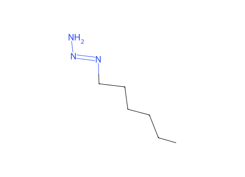 CCCCCCN=NN